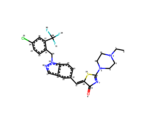 CCN1CCN(C2=NC(=O)/C(=C/c3ccc4c(cnn4Cc4ccc(Cl)cc4C(F)(F)F)c3)S2)CC1